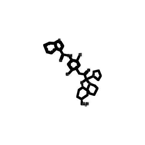 O=C(Nc1cc(Cl)c(CC(=O)C(O[C@H]2CC[C@H](C(=O)O)CC2)(N2CCCCC2)N2CCCC2)cc1Cl)c1csc2ccccc12